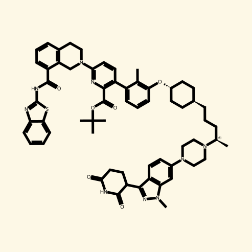 Cc1c(O[C@H]2CC[C@H](CCC[C@@H](C)N3CCN(c4ccc5c(C6CCC(=O)NC6=O)nn(C)c5c4)CC3)CC2)cccc1-c1ccc(N2CCc3cccc(C(=O)Nc4nc5ccccc5s4)c3C2)nc1C(=O)OC(C)(C)C